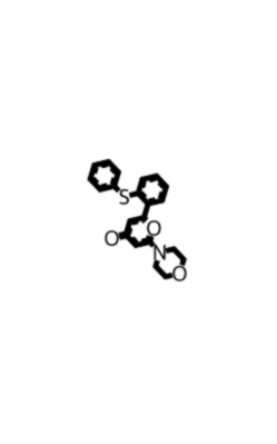 O=c1cc(-c2ccccc2Sc2ccccc2)oc(N2CCOCC2)c1